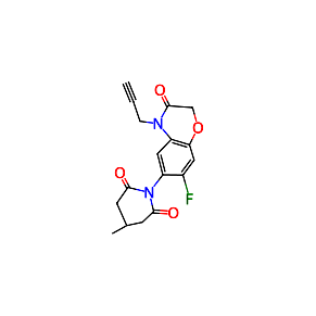 C#CCN1C(=O)COc2cc(F)c(N3C(=O)CC(C)CC3=O)cc21